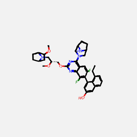 CCc1cccc2cc(O)cc(-c3c(F)cc4c(N5CC6CCC(C5)N6)nc(OC[C@@H](CN5C6CCC5C(OC)C6)OC)nc4c3F)c12